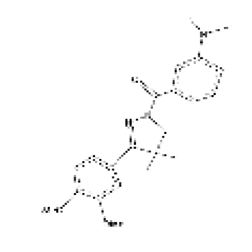 COc1ccc(C2=NN(C(=O)c3cccc(N(C)C)c3)CC2(C)C)cc1OC